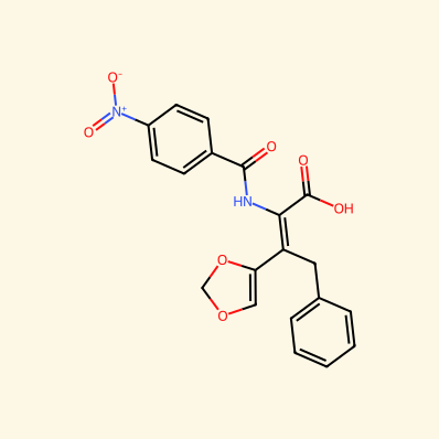 O=C(O)C(NC(=O)c1ccc([N+](=O)[O-])cc1)=C(Cc1ccccc1)C1=COCO1